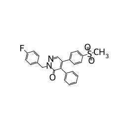 CS(=O)(=O)c1ccc(-c2cnn(Cc3ccc(F)cc3)c(=O)c2-c2ccccc2)cc1